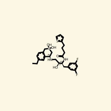 CCc1ccc2c(c1)[C@@H](NC[C@H](O)[C@H](Cc1cc(F)cc(F)c1)NC(=O)CCCc1cccs1)CS(O)(O)C2